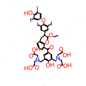 CCOC(=O)C(Cc1cccc(C(=O)c2cc(CN(CC(=O)O)CC(=O)O)c(O)c(CN(CC(=O)O)CC(=O)O)c2)c1)c1cc(I)c(Oc2cc(I)c(O)c(I)c2)c(I)c1